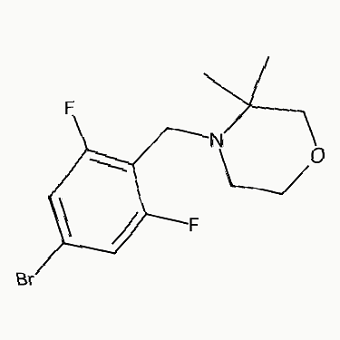 CC1(C)COCCN1Cc1c(F)cc(Br)cc1F